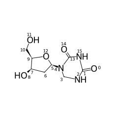 O=C1NCN([C@H]2C[C@@H](O)[C@@H](CO)O2)C(=O)N1